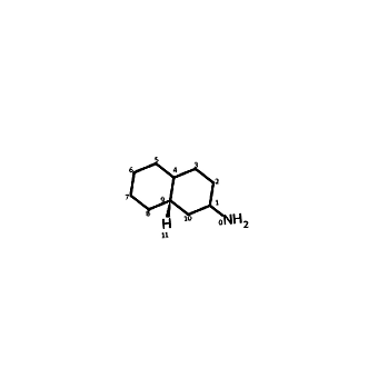 NC1CCC2CCCC[C@H]2C1